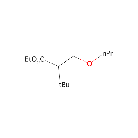 CCCOCC(C(=O)OCC)C(C)(C)C